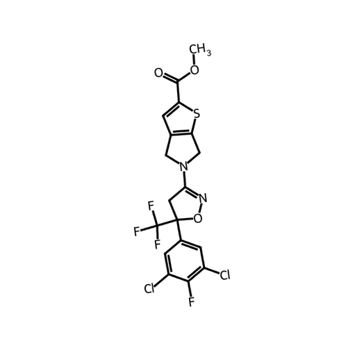 COC(=O)c1cc2c(s1)CN(C1=NOC(c3cc(Cl)c(F)c(Cl)c3)(C(F)(F)F)C1)C2